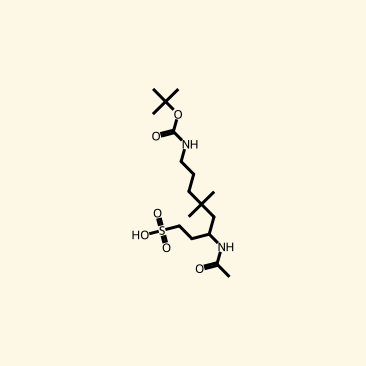 CC(=O)NC(CCS(=O)(=O)O)CC(C)(C)CCCNC(=O)OC(C)(C)C